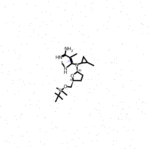 C/C(C(=N)N)=C(/NI)N(C1CC1C)[C@H]1CC[C@@H](CO[Si](C)(C)C(C)(C)C)O1